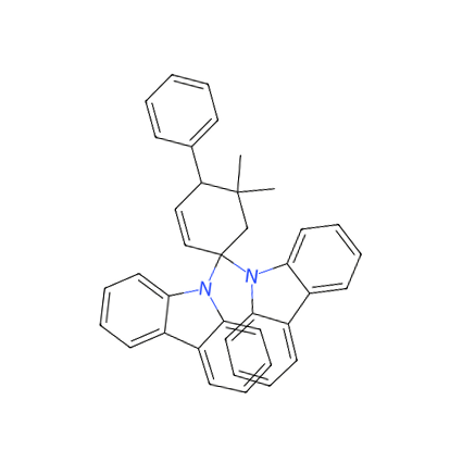 CC1(C)CC(n2c3ccccc3c3ccccc32)(n2c3ccccc3c3ccccc32)C=CC1c1ccccc1